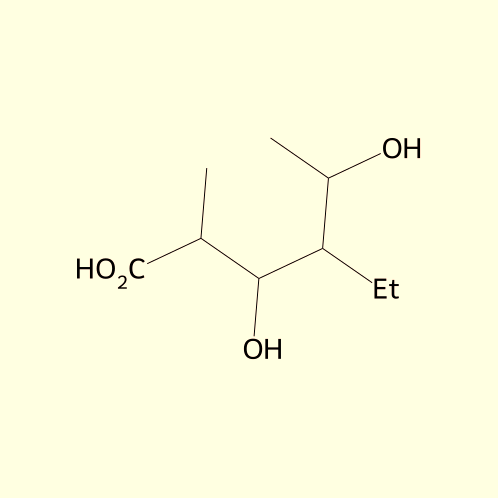 CCC(C(C)O)C(O)C(C)C(=O)O